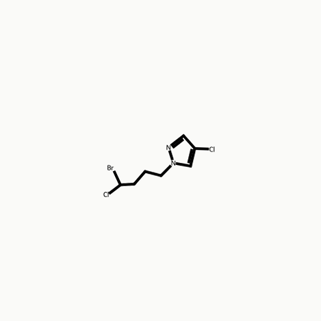 Clc1cnn(CCCC(Cl)Br)c1